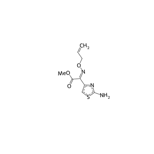 C=CCO/N=C(\C(=O)OC)c1csc(N)n1